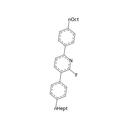 CCCCCCCCc1ccc(-c2ccc(-c3ccc(CCCCCCC)cc3)c(F)n2)cc1